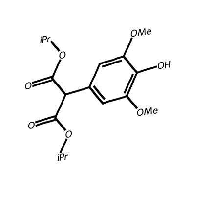 COc1cc(C(C(=O)OC(C)C)C(=O)OC(C)C)cc(OC)c1O